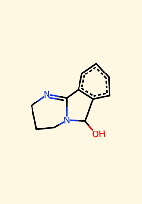 OC1c2ccccc2C2=NCCCN21